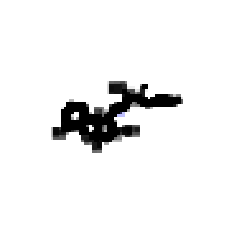 CC#CC[C@@H](C)[C@@H](O)/C=C/[C@@H]1[C@H]2c3cccc(CC)c3O[C@H]2C[C@H]1O